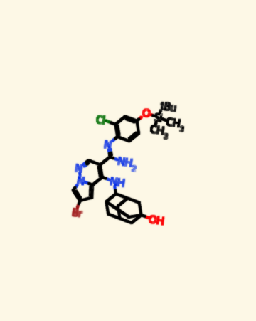 CC(C)(C)[Si](C)(C)Oc1ccc(/N=C(\N)c2cnn3cc(Br)cc3c2NC2C3CC4CC2CC(O)(C4)C3)c(Cl)c1